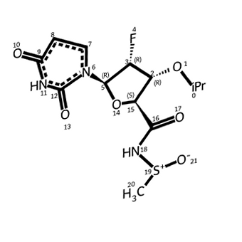 CC(C)O[C@H]1[C@@H](F)[C@H](n2ccc(=O)[nH]c2=O)O[C@@H]1C(=O)N[S+](C)[O-]